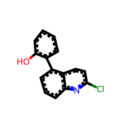 Oc1ccccc1-c1cccc2nc(Cl)ccc12